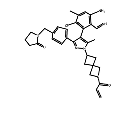 C=CC(=O)N1CC2(CC(n3nc(-c4ccc(CN5CCCC5=O)cc4)c(-c4c(Cl)c(C)cc(N)c4C=N)c3C)C2)C1